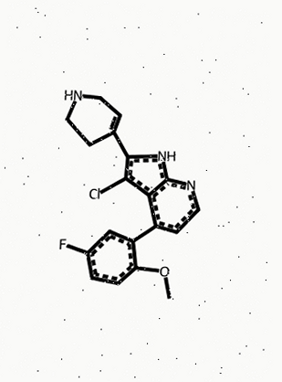 COc1ccc(F)cc1-c1ccnc2[nH]c(C3=CCNCC3)c(Cl)c12